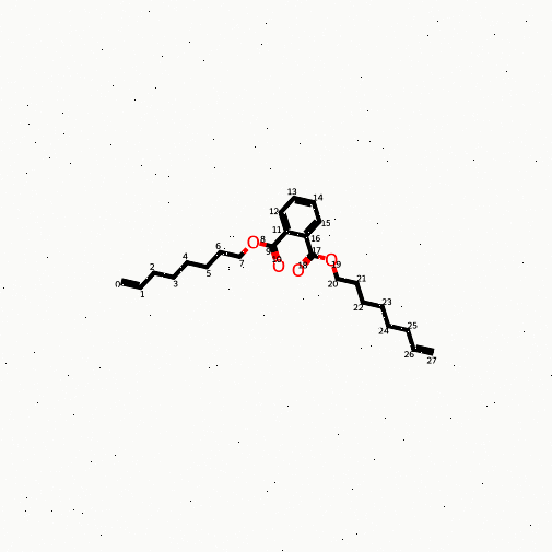 C=CCCCCCCOC(=O)c1ccccc1C(=O)OCCCCCCC=C